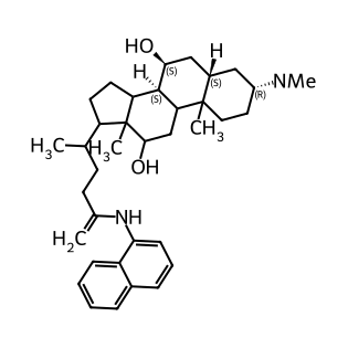 C=C(CCC(C)C1CCC2[C@@H]3C(CC(O)C12C)C1(C)CC[C@@H](NC)C[C@H]1C[C@@H]3O)Nc1cccc2ccccc12